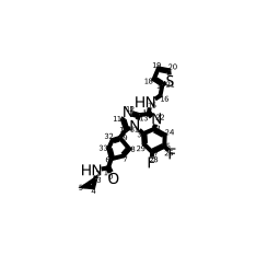 O=C(NC1CC1)c1ccc(-c2cnc3c(NCc4cccs4)nc4cc(F)c(F)cc4n23)cc1